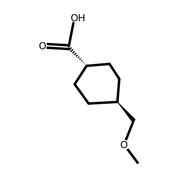 COC[C@H]1CC[C@H](C(=O)O)CC1